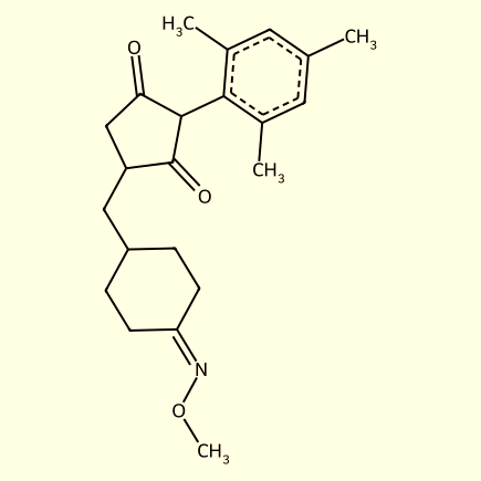 CON=C1CCC(CC2CC(=O)C(c3c(C)cc(C)cc3C)C2=O)CC1